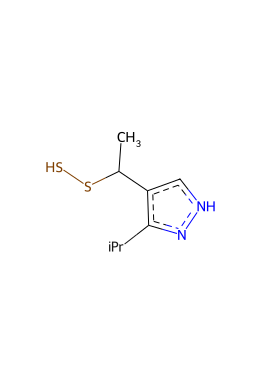 CC(C)c1n[nH]cc1C(C)SS